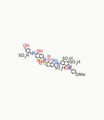 COc1ccc(N=Nc2c(S(=O)(=O)O)cc3c(S(=O)(=O)O)cc(N=Nc4c(S(=O)(=O)O)cc5ccc(N=Nc6ccc7c(O)c(N=Nc8ccc(CO)cc8S(=O)(=O)O)ccc7c6S(=O)(=O)OS)c(O)c5c4N)cc3c2O)cc1